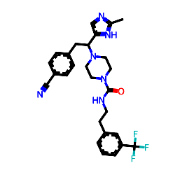 Cc1ncc(C(Cc2ccc(C#N)cc2)N2CCN(C(=O)NCCc3cccc(C(F)(F)F)c3)CC2)[nH]1